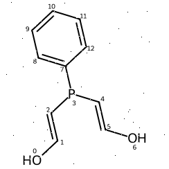 O/C=C/P(/C=C/O)c1ccccc1